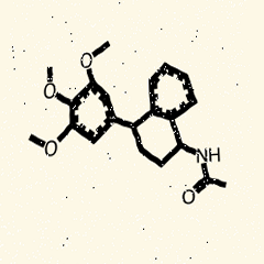 COc1cc(C2CCC(NC(C)=O)c3ccccc32)cc(OC)c1OC